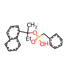 [CH2]C(CC)(OP(=O)(O)Cc1ccccc1)c1cccc2ccccc12